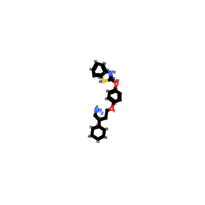 NCC(CCOc1ccc(Oc2nc3ccccc3s2)cc1)C1CCCCC1